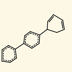 C1=CC[C](c2ccc(-c3ccccc3)cc2)C=C1